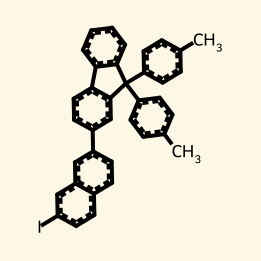 Cc1ccc(C2(c3ccc(C)cc3)c3ccccc3-c3ccc(-c4ccc5ccc(I)cc5c4)cc32)cc1